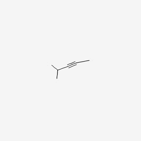 BrC#CC(Br)Br